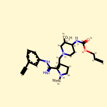 C#Cc1cccc(NC(=N)C2=C(CN3CCC(NC(=O)OCC=C)C(C(=O)O)C3)CCN2NC)c1